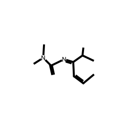 C=C(/N=C(\C=C/C)C(C)C)N(C)C